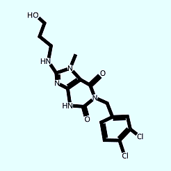 Cn1c(NCCCO)nc2[nH]c(=O)n(Cc3ccc(Cl)c(Cl)c3)c(=O)c21